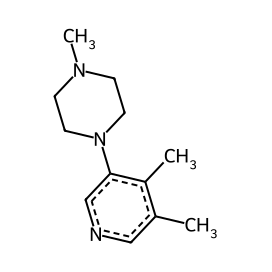 Cc1cncc(N2CCN(C)CC2)c1C